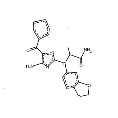 CC(C(N)=O)N(c1ccc2c(c1)OCO2)c1nc(N)c(C(=O)c2ccccc2)s1